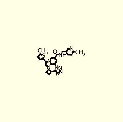 Cc1ccc(CNC(=O)c2cc(-n3nnnc3C3CCC3)c3ncc(-c4ccc(C)s4)n3c2)cn1